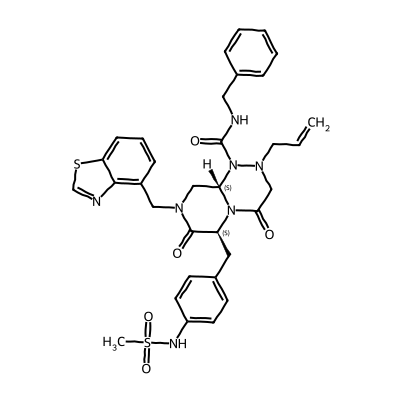 C=CCN1CC(=O)N2[C@@H](Cc3ccc(NS(C)(=O)=O)cc3)C(=O)N(Cc3cccc4scnc34)C[C@@H]2N1C(=O)NCc1ccccc1